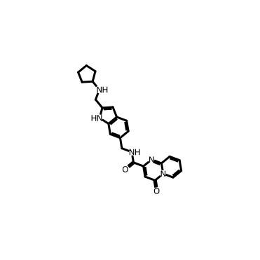 O=C(NCc1ccc2cc(CNC3CCCC3)[nH]c2c1)c1cc(=O)n2ccccc2n1